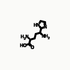 NC(CC[C@H](N)C(=O)O)C1N=CCN1